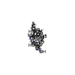 COC(=O)CNC(=O)CC(=O)O[C@@H]([C@H](C)[C@H](O)[C@H](C)[C@@H](O)[C@@H](C)/C=C/C=C(/C)C(=O)NC1=C2NC3(CCN(CC(C)C)CC3)N=C2c2c(c(O)c(C)c3c2C(=O)C(C)O3)C1=O)[C@H](C)[C@H](/C=C/O)OC